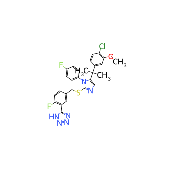 COc1cc(C(C)(C)c2cnc(SCc3ccc(F)c(-c4nnn[nH]4)c3)n2-c2ccc(F)cc2)ccc1Cl